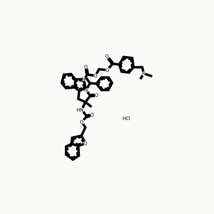 CC(NC(=O)C(C)(Cc1cn(C(=O)OCOC(=O)c2ccc(CN(C)C)cc2)c2ccccc12)NC(=O)OCc1cc2ccccc2o1)c1ccccc1.Cl